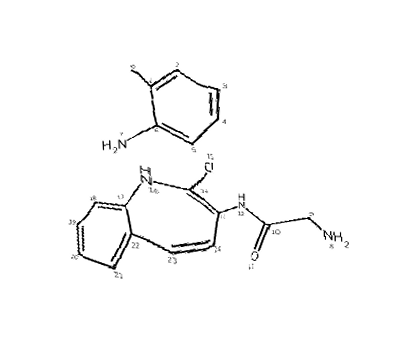 Cc1ccccc1N.NCC(=O)NC1=C(Cl)Nc2ccccc2C=C1